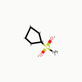 CCCS(=O)(=O)C1CCCC1